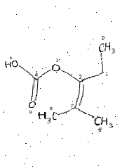 CCC(OC(=O)O)=C(C)C